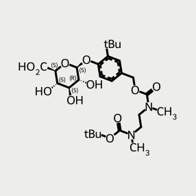 CN(CCN(C)C(=O)OC(C)(C)C)C(=O)OCc1ccc(O[C@@H]2O[C@H](C(=O)O)[C@@H](O)[C@H](O)[C@H]2O)c(C(C)(C)C)c1